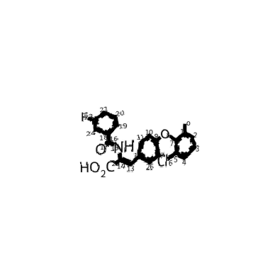 Cc1cccc(Cl)c1Oc1ccc(/C=C(\NC(=O)c2cccc(F)c2)C(=O)O)cc1